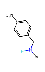 CC(=O)N(F)Cc1ccc([N+](=O)[O-])cc1